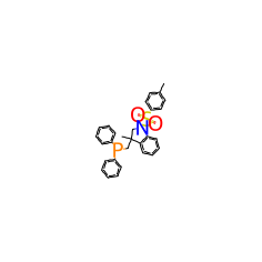 Cc1ccc(S(=O)(=O)N2CC(C)(CP(c3ccccc3)c3ccccc3)c3ccccc32)cc1